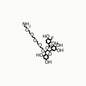 NCCOCCOCCOCCOCCOC1c2c(O)cc(O)cc2OC(c2cc(O)c(O)c(O)c2)C1OC(=O)c1ccc(O)c(F)c1